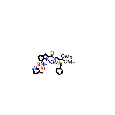 COCn1c(C(=O)NCC(SCc2ccccc2)C(OC)OC)cc2cccc(NS(=O)(=O)c3ncccc3C)c21